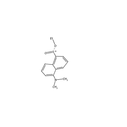 CCO[S@@](=O)c1cccc2c(N(C)C)cccc12